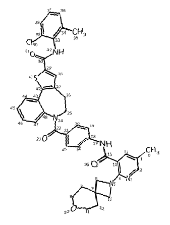 Cc1cnc(N2CC3(CCOCC3)C2)c(C(=O)Nc2ccc(C(=O)N3CCc4cc(C(=O)Nc5c(C)cccc5Cl)sc4-c4ccccc43)cc2)c1